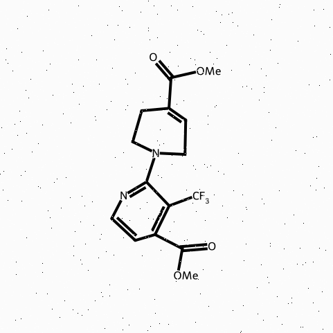 COC(=O)C1=CCN(c2nccc(C(=O)OC)c2C(F)(F)F)CC1